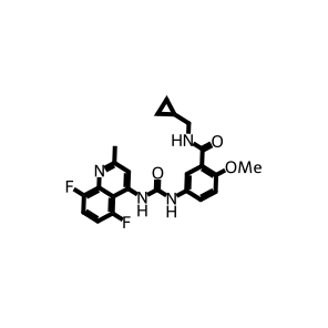 COc1ccc(NC(=O)Nc2cc(C)nc3c(F)ccc(F)c23)cc1C(=O)NCC1CC1